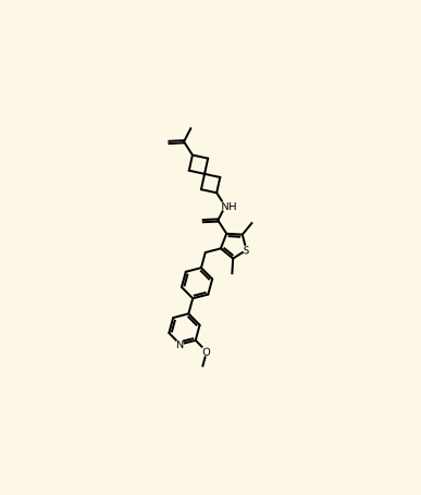 C=C(NC1CC2(C1)CC(C(=C)C)C2)c1c(C)sc(C)c1Cc1ccc(-c2ccnc(OC)c2)cc1